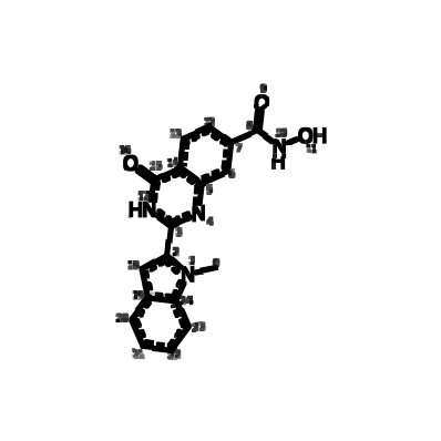 Cn1c(-c2nc3cc(C(=O)NO)ccc3c(=O)[nH]2)cc2ccccc21